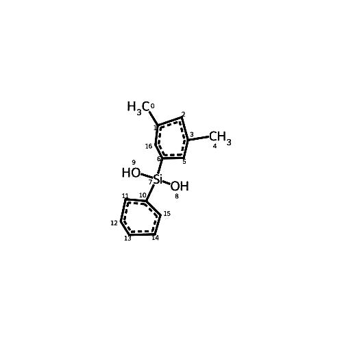 Cc1cc(C)cc([Si](O)(O)c2ccccc2)c1